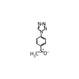 C[S+]([O-])c1ccc(-n2cnnn2)cc1